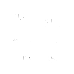 C=C1NCCC(C)(C)C1C(C)C